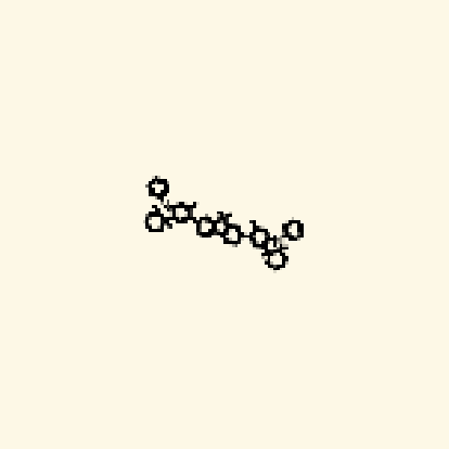 Cc1cc2c(cc1-c1ccc3c(c1)C(C)(C)c1cc(-c4cc5c(cc4C)N(c4ccccc4)C4(C)CCCCC54C)ccc1-3)C1(C)CCCCC1(C)N2c1ccccc1